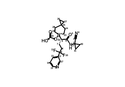 N#CC1(NC(=O)[C@H](CCC(F)(F)c2cccnc2)[N+]2(OC(=O)O)CCC3(CC3)CC2)CC1